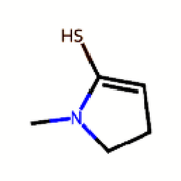 CN1CCC=C1S